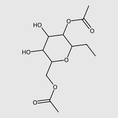 CCC1OC(COC(C)=O)C(O)C(O)C1OC(C)=O